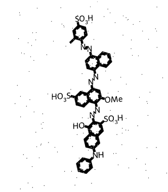 COc1cc(N=Nc2ccc(N=Nc3ccc(S(=O)(=O)O)cc3C)c3ccccc23)c2cc(S(=O)(=O)O)ccc2c1N=Nc1c(S(=O)(=O)O)cc2cc(Nc3ccccc3)ccc2c1O